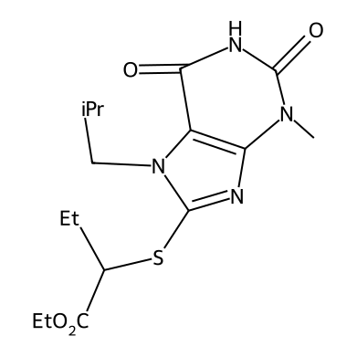 CCOC(=O)C(CC)Sc1nc2c(c(=O)[nH]c(=O)n2C)n1CC(C)C